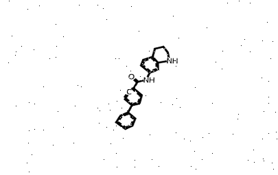 O=C(Nc1ccc2c(c1)NCCC2)c1ccc(-c2ccccc2)cc1